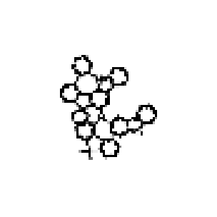 CC1(C)c2ccccc2-c2c(N(c3ccc4oc5ccccc5c4c3)c3cc4c5ccccc5n5c4c4c3C3(CCCC3)c3cccc(c3-4)-c3ccccc3-5)cccc21